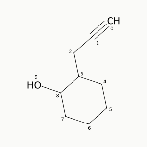 C#CCC1CCCCC1O